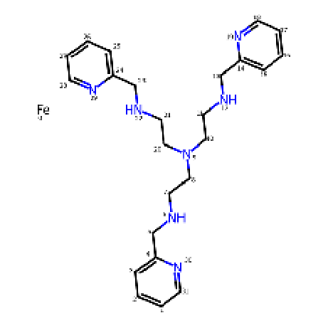 [Fe].c1ccc(CNCCN(CCNCc2ccccn2)CCNCc2ccccn2)nc1